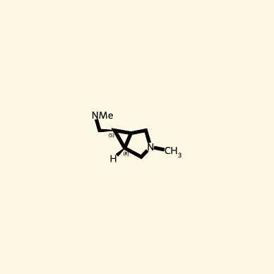 CNC[C@H]1C2CN(C)C[C@@H]21